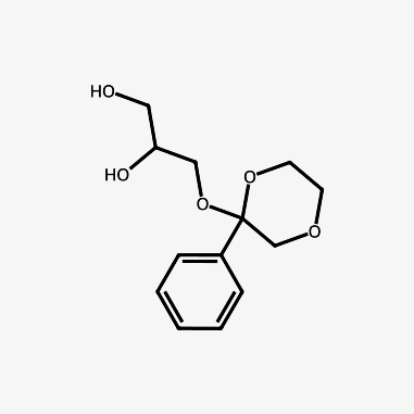 OCC(O)COC1(c2ccccc2)COCCO1